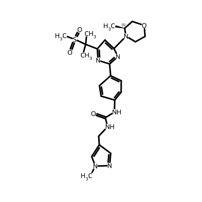 C[C@H]1COCCN1c1cc(C(C)(C)S(C)(=O)=O)nc(-c2ccc(NC(=O)NCc3cnn(C)c3)cc2)n1